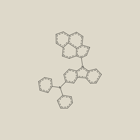 c1ccc(N(c2ccccc2)c2ccc3c(c2)c2ccccc2n3-c2ccc3ccc4cccc5ccc2c3c45)cc1